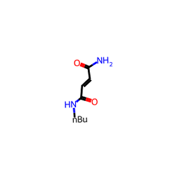 CCCCNC(=O)C=CC(N)=O